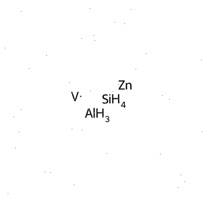 [AlH3].[SiH4].[V].[Zn]